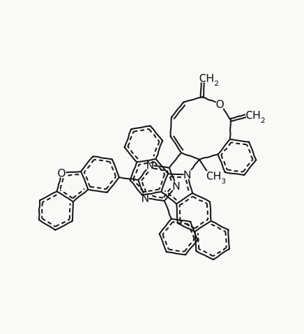 C=C1/C=C\C=C(\c2nc(-c3ccccc3)nc(-c3ccc4oc5ccccc5c4c3)n2)C(C)(n2c3cc4ccccc4cc3c3ccc4ccccc4c32)c2ccccc2C(=C)O1